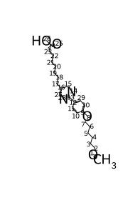 COCCCCCCOc1ccc(-c2ncc(CCCCCCCC(=O)O)cn2)cc1